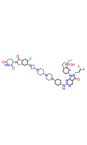 CC[C@@]1(O)CCc2ccc(-n3c4nc(Nc5ccc(N6CCN(C7CCN(C8CN(c9cc%10c(cc9F)C(=O)N(C9CCC(=O)NC9=O)C%10)C8)CC7)CC6)cc5)ncc4c(=O)n3CC=C(F)F)nc21